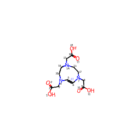 O=C(O)CN1/C=C/N(CC(=O)O)CCN(CC(=O)O)CC1